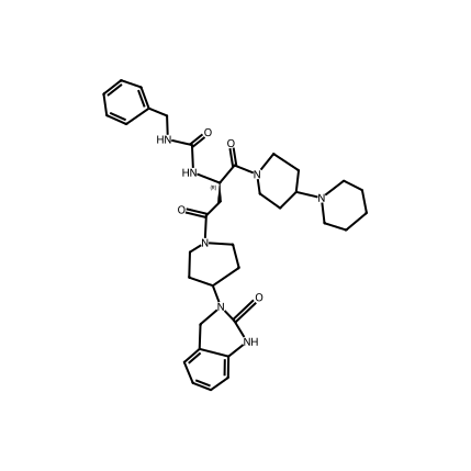 O=C(NCc1ccccc1)N[C@H](CC(=O)N1CCC(N2Cc3ccccc3NC2=O)CC1)C(=O)N1CCC(N2CCCCC2)CC1